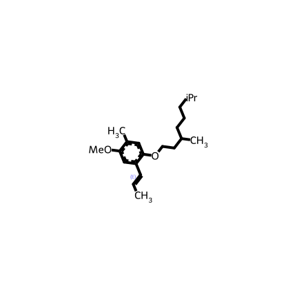 C/C=C/c1cc(OC)c(C)cc1OCCC(C)CCCC(C)C